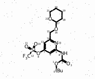 CC(C)(C)OC(=O)Nc1cc(OS(=O)(=O)C(F)(F)F)cc(COC2CCCCO2)n1